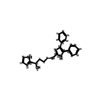 OC(CCCSc1nc(-c2ccccc2)c(-c2ccccc2)[nH]1)c1ncc[nH]1